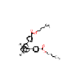 CCCCCOC(=O)c1ccc(C23CC4C56CC7(c8ccc(C(=O)OCCCCC)cc8)CC([C@H]5C2)[C@@H](C3)C4(C7)C6)cc1